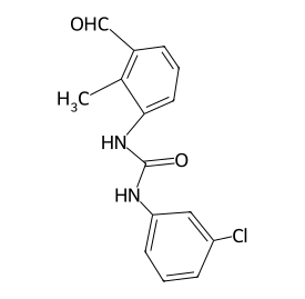 Cc1c(C=O)cccc1NC(=O)Nc1cccc(Cl)c1